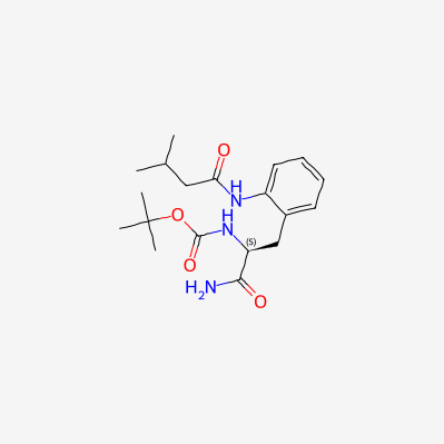 CC(C)CC(=O)Nc1ccccc1C[C@H](NC(=O)OC(C)(C)C)C(N)=O